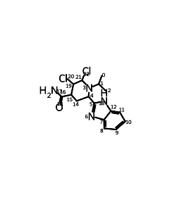 CC(C)N1C(c2nc3ccccc3[nH]2)CC(C(N)=O)C(Cl)C1Cl